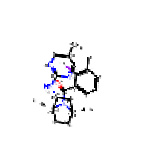 Cc1cccc(C(=O)N2[C@@H]3CC[C@H]2[C@H](Nc2ncc(C(F)(F)F)cn2)C3)c1I